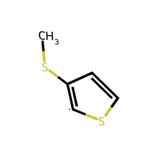 CSc1[c]scc1